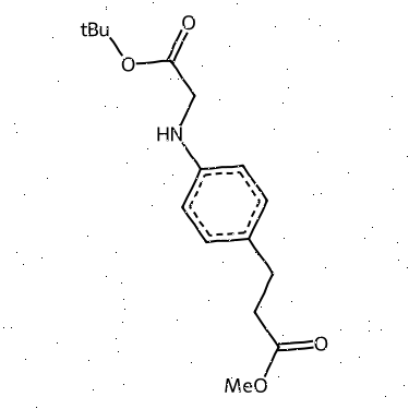 COC(=O)CCc1ccc(NCC(=O)OC(C)(C)C)cc1